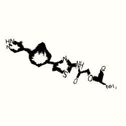 NC(=O)OCC(=O)Nc1nc(-c2ccc(-c3cn[nH]c3)cc2)cs1